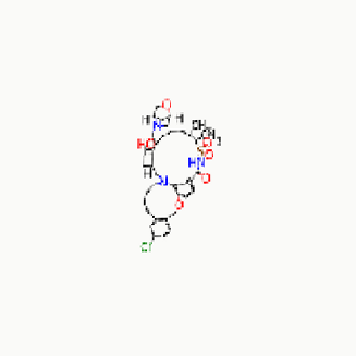 C[C@@H]1[C@@H](C)CCC[C@@](O)(CN2C[C@H]3C[C@@H]2CO3)[C@@H]2CC[C@H]2CN2CCCCc3cc(Cl)ccc3COc3ccc(cc32)C(=O)NS1(=O)=O